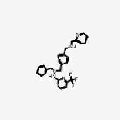 FC(F)(F)c1ccnc(NN(Cc2ccccc2)Cc2ccc(CNCc3ccccn3)cc2)n1